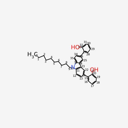 CCCCCCCCCCn1c2ccc(-c3ccccc3O)cc2c2cc(-c3ccccc3O)ccc21